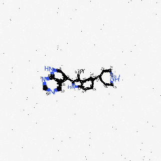 CC(C)c1c(-c2c[nH]c3ncncc23)[nH]c2ccc(C3CCNCC3)cc12